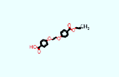 C=CCOC(=O)c1ccc(OCCOc2ccc(C(=O)O)cc2)cc1